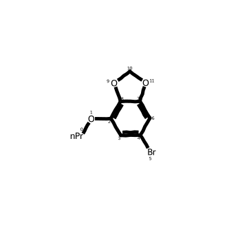 CCCOc1cc(Br)cc2c1OCO2